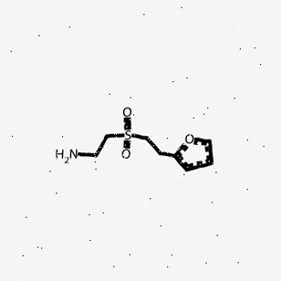 NCCS(=O)(=O)CCc1ccco1